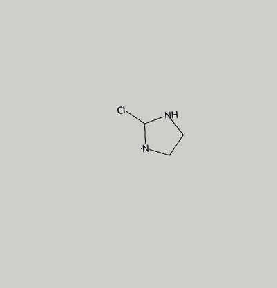 ClC1[N]CCN1